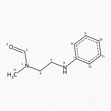 CN(C=O)CCNc1ccccc1